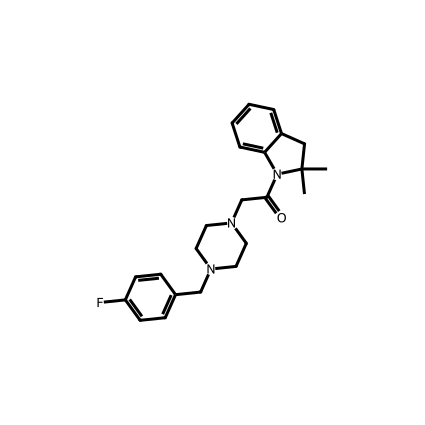 CC1(C)Cc2ccccc2N1C(=O)CN1CCN(Cc2ccc(F)cc2)CC1